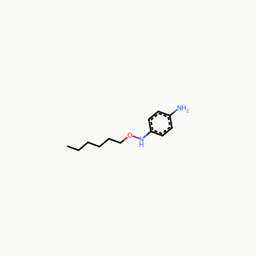 CCCCCCONc1ccc(N)cc1